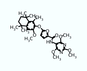 COc1nc(OC)c(NC(=O)c2ccc(Oc3c(OC)cc4c(c3C)C(C)(C)CCC4(C)C)o2)c(OC)n1